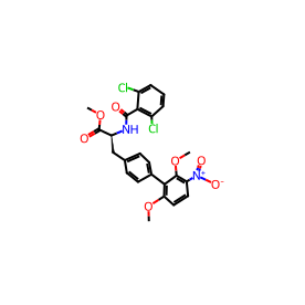 COC(=O)[C@H](Cc1ccc(-c2c(OC)ccc([N+](=O)[O-])c2OC)cc1)NC(=O)c1c(Cl)cccc1Cl